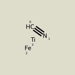 C#N.[Fe].[Ti]